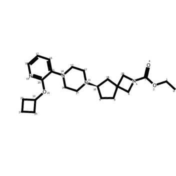 CCOC(=O)N1CC2(CC[C@@H](N3CCN(c4cccnc4OC4CCC4)CC3)C2)C1